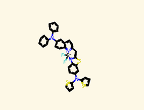 F[B-]1(F)N2C(=Cc3ccc4cc(N(c5ccccc5)c5ccccc5)ccc4[n+]31)Sc1cc(N(c3cccs3)c3cccs3)ccc12